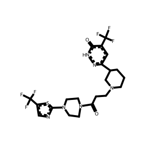 O=C(CCN1CCCC(c2cc(C(F)(F)F)c(=O)[nH]n2)C1)N1CCN(c2ncc(C(F)(F)F)s2)CC1